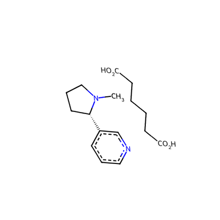 CN1CCC[C@H]1c1cccnc1.O=C(O)CCCCC(=O)O